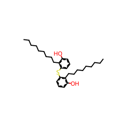 CCCCCCCCCc1c(O)cccc1Sc1cccc(O)c1CCCCCCCCC